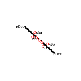 CCCCCCCCCCCCCCCCC(OCCCC)=C(COCOCOCC(OCCCC)=C(CCCCCCCCCCCCCCCC)OCCCC)OCCCC